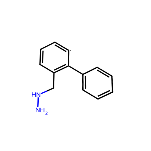 NNCc1ccc[c]c1-c1ccccc1